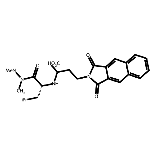 CNN(C)C(=O)[C@@H](CC(C)C)NC(CCN1C(=O)c2cc3ccccc3cc2C1=O)C(=O)O